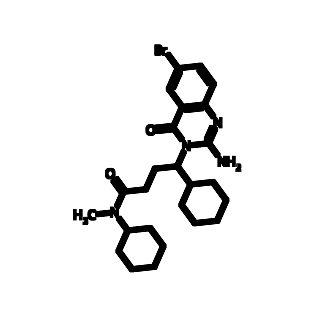 CN(C(=O)CCC(C1CCCCC1)n1c(N)nc2ccc(Br)cc2c1=O)C1CCCCC1